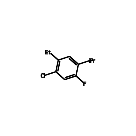 CCc1cc(C(C)C)c(F)cc1Cl